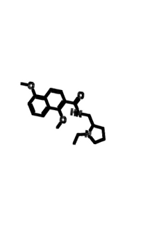 CCN1CCCC1CNC(=O)c1ccc2c(OC)cccc2c1OC